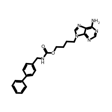 Nc1ncnc2c1ncn2CCCCOC(=O)NCc1ccc(-c2ccccc2)cc1